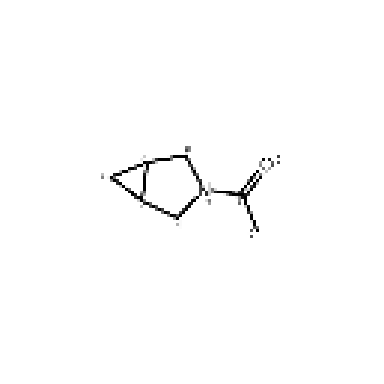 CC(=O)N1CC2[CH]C2C1